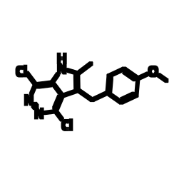 COc1ccc(Cc2c(C)[nH]c3c(Cl)nnc(Cl)c23)cc1